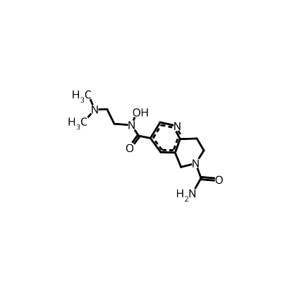 CN(C)CCN(O)C(=O)c1cnc2c(c1)CN(C(N)=O)CC2